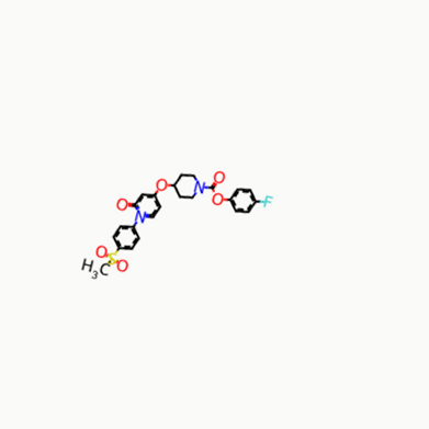 CS(=O)(=O)c1ccc(-n2ccc(OC3CCN(C(=O)Oc4ccc(F)cc4)CC3)cc2=O)cc1